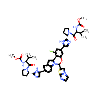 COC(=O)N[C@H](C(=O)N1CCC[C@H]1c1ncc(-c2cc(F)c3c(c2)OC(c2cn4ccnc4s2)n2c-3cc3cc(-c4cnc([C@@H]5CCCN5C(=O)[C@@H](NC(=O)OC)C(C)C)[nH]4)ccc32)[nH]1)C(C)C